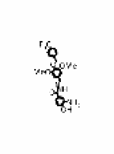 COc1cc(/C=N/NC(=O)c2ccc(O)c(N)c2)cc(OC)c1OCc1ccc(C(F)(F)F)cc1